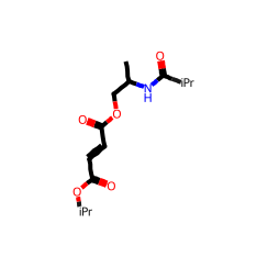 CC(COC(=O)/C=C/C(=O)OC(C)C)NC(=O)C(C)C